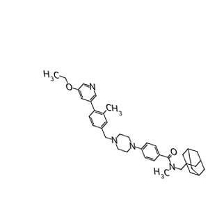 CCOc1cncc(-c2ccc(CN3CCN(c4ccc(C(=O)N(C)CC56CC7CC(CC(C7)C5)C6)cc4)CC3)cc2C)c1